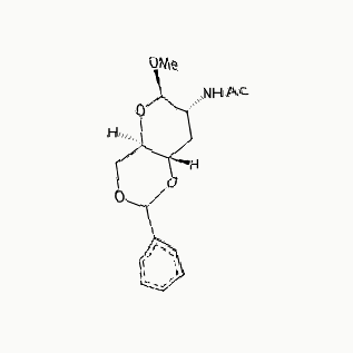 CO[C@@H]1O[C@@H]2COC(c3ccccc3)O[C@H]2C[C@H]1NC(C)=O